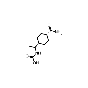 CC(NC(=O)O)[C@H]1CC[C@H](C(N)=O)CC1